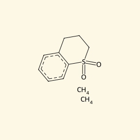 C.C.O=S1(=O)CCCc2ccccc21